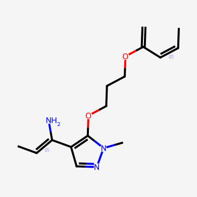 C=C(/C=C\C)OCCCOc1c(/C(N)=C/C)cnn1C